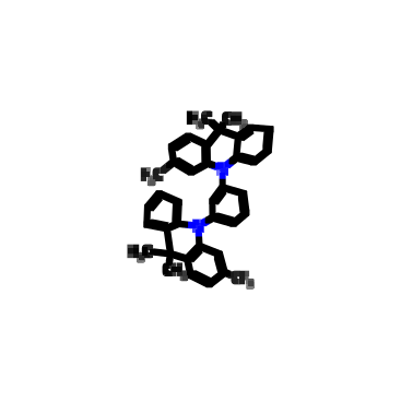 CC1(C)c2ccccc2N(c2cccc(N3c4ccccc4C(C)(C)c4ccc(C(F)(F)F)cc43)c2)c2cc(C(F)(F)F)ccc21